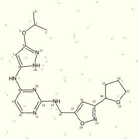 CC(C)Oc1cc(Nc2ccnc(NCc3cc(C4CCCO4)no3)n2)[nH]n1